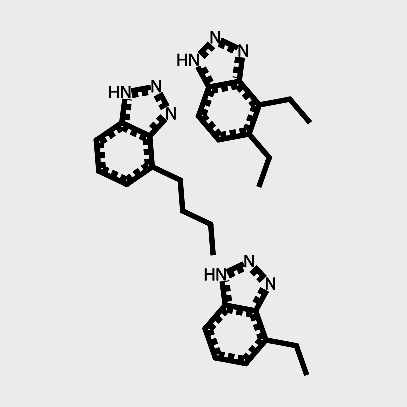 CCCCc1cccc2[nH]nnc12.CCc1ccc2[nH]nnc2c1CC.CCc1cccc2[nH]nnc12